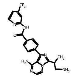 CC(CN)c1nc(-c2ccc(C(=O)Nc3cc(C(F)(F)F)ccn3)cc2)c2c(N)nccn12